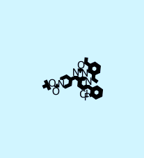 CCc1cccc(CC)c1-n1c(=O)nc(C2CCN(C(=O)OC(C)(C)C)CC2)c2cc(Cl)c(-c3ccccc3F)nc21